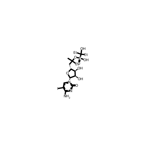 CCC(C)(C[C@H]1O[C@@H](n2cc(I)c(N)nc2=O)[C@H](O)[C@@H]1O)OP(=O)(O)C(O)(CC)CC